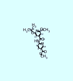 COC(=O)c1ccc(NC(=O)c2cc(OC)nc(OC(C)C)c2)nc1